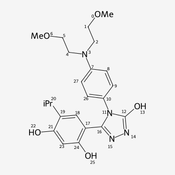 COCCN(CCOC)c1ccc(-n2c(O)nnc2-c2cc(C(C)C)c(O)cc2O)cc1